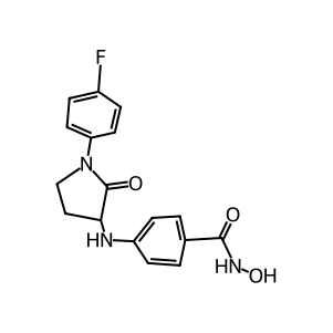 O=C(NO)c1ccc(NC2CCN(c3ccc(F)cc3)C2=O)cc1